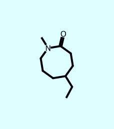 CCC1CCCN(C)C(=O)CC1